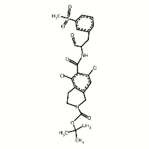 CC(C)(C)OC(=O)N1CCc2c(cc(Cl)c(C(=O)NC(C=O)Cc3cccc(S(C)(=O)=O)c3)c2Cl)C1